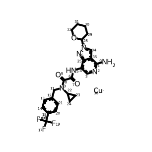 Nc1ncc(NC(=O)C(=O)N(Cc2ccc(C(F)(F)F)cc2)C2CC2)c2nn(C3CCCCO3)cc12.[Cu]